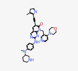 CC1=C(C#Cc2cc3cnc(Nc4ccc(N(C)C5CCCNC5)cc4)nc3n(Cc3cnccc3N3CCOCC3)c2=O)N=CC1